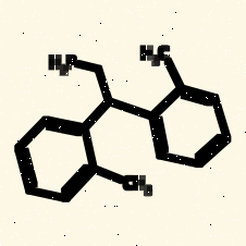 Cc1ccccc1C(CP)c1ccccc1C